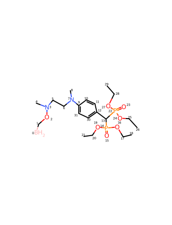 BCON(C)CCN(C)c1ccc(C(P(=O)(OCC)OCC)P(=O)(OCC)OCC)cc1